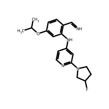 CC(C)Oc1ccc(C=N)c(Nc2ccnc(N3CCC(F)C3)c2)c1